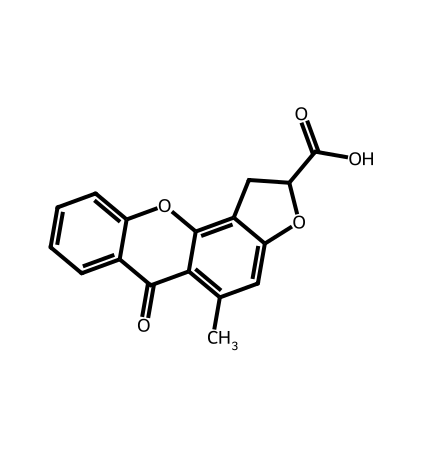 Cc1cc2c(c3oc4ccccc4c(=O)c13)CC(C(=O)O)O2